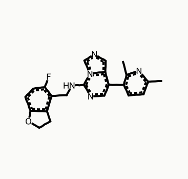 Cc1ccc(-c2cnc(NCc3c(F)ccc4c3CCO4)n3cncc23)c(C)n1